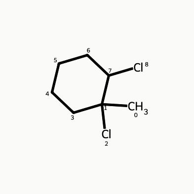 CC1(Cl)CCCCC1Cl